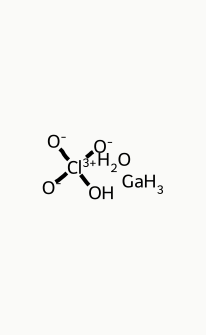 O.[GaH3].[O-][Cl+3]([O-])([O-])O